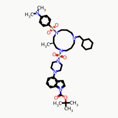 C[C@H]1CN(S(=O)(=O)c2ccc(N(C)C)cc2)CCCN(CC2CCCCC2)CCCN(S(=O)(=O)N2CCN(c3cccc4c3ccn4C(=O)OC(C)(C)C)CC2)C1